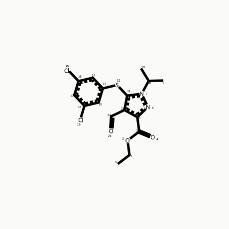 CCOC(=O)c1nn(C(C)C)c(Sc2cc(Cl)cc(Cl)c2)c1C=O